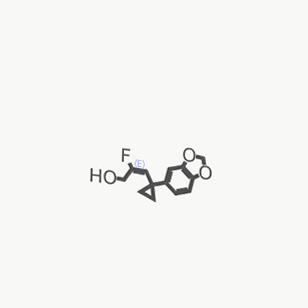 OC/C(F)=C\C1(c2ccc3c(c2)OCO3)CC1